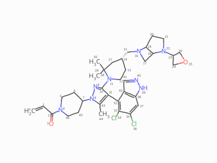 C=CC(=O)N1CCC(n2nc(N3CC[C@@H](CN4CC5C4CCN5C4COC4)CC3(C)C)c(-c3c(Cl)c(Cl)cc4[nH]ncc34)c2C)CC1